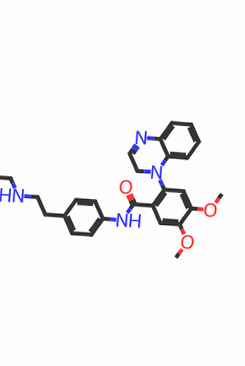 CCNCCc1ccc(NC(=O)c2cc(OC)c(OC)cc2N2CC=Nc3ccccc32)cc1